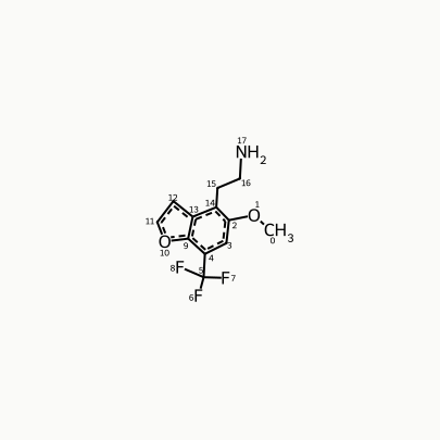 COc1cc(C(F)(F)F)c2occc2c1CCN